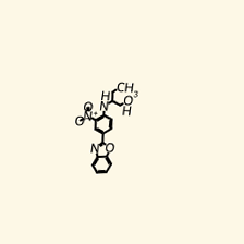 CCC(CO)Nc1ccc(-c2nc3ccccc3o2)cc1[N+](=O)[O-]